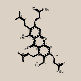 CCCCC(=O)COc1cc2oc3cc(OCC(=O)CCCC)c(CO)c(CC=C(C)C)c3c(=O)c2c(O)c1CC=C(C)C